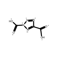 O=C(O)c1nnn(C(=O)O)n1